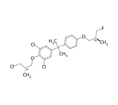 C[C@H](CF)COc1ccc(C(C)(C)c2cc(Cl)c(OC[C@H](C)CCl)c(Cl)c2)cc1